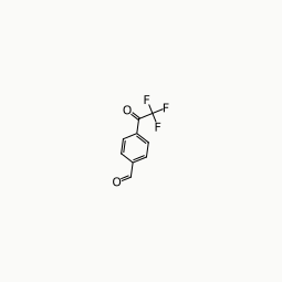 O=Cc1ccc(C(=O)C(F)(F)F)cc1